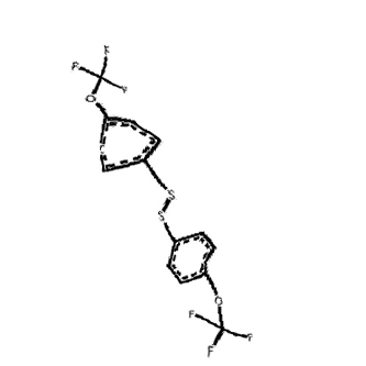 FC(F)(F)Oc1ccc(SSc2ccc(OC(F)(F)F)cc2)cc1